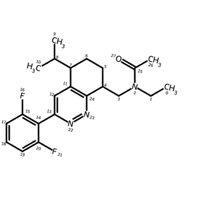 CCN(CC1CCC(C(C)C)c2cc(-c3c(F)cccc3F)nnc21)C(C)=O